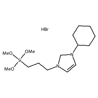 Br.CO[Si](CCCN1C=CN(C2CCCCC2)C1)(OC)OC